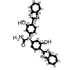 NC(=O)N(c1ccc(-c2nc3ccccc3s2)c(O)c1)c1ccc(-c2nc3ccccc3s2)c(O)c1